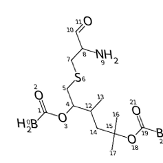 BC(=O)OC(CSCC(N)C=O)C(C)CC(C)(C)OC(B)=O